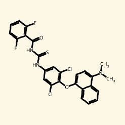 CN(C)c1ccc(Oc2c(Cl)cc(NC(=S)NC(=O)c3c(F)cccc3F)cc2Cl)c2ccccc12